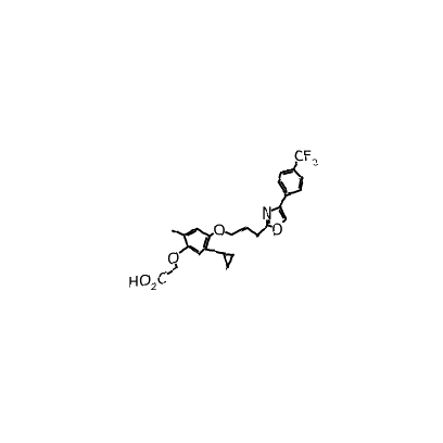 Cc1cc(OCCCc2nc(-c3ccc(C(F)(F)F)cc3)co2)c(C2CC2)cc1OCC(=O)O